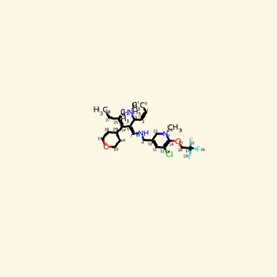 C/C=C\C(NC)C(=C\NCC1=CC(Cl)=C(OCC(F)(F)F)N(C)C1)/C(=C(\C)CC)C1CCOCC1